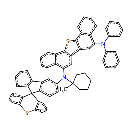 CC1(N(c2ccc3c(c2)-c2ccccc2C32c3ccccc3Sc3ccccc32)c2cc3c4cc(N(c5ccccc5)c5ccccc5)c5ccccc5c4sc3c3ccccc23)CCCCC1